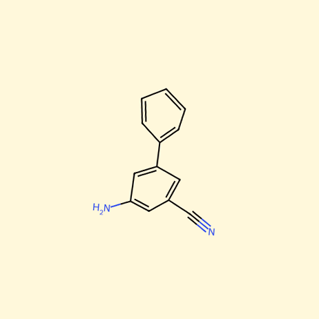 N#Cc1cc(N)cc(-c2ccccc2)c1